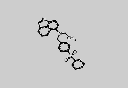 CCN(Cc1ccc(S(=O)(=O)c2ccccc2)cc1)c1ccc2c3c(cccc13)C=N2